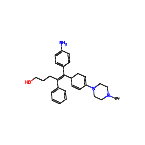 CC(C)N1CCN(C2=CCC(/C(=C(/CCCO)c3ccccc3)c3ccc(N)cc3)C=C2)CC1